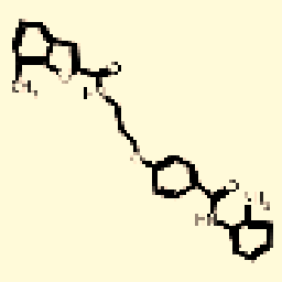 Cc1cccc2cc(C(=O)NCCCOc3ccc(C(=O)Nc4ccccc4N)cc3)oc12